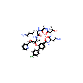 C[C@H](NC(=O)[C@@H](NC(=O)[C@H](CCN)NC(=O)c1ccc(-c2ccc(Cl)cc2)cc1)[C@@H](C)O)C(=O)N[C@@H](CCCCN)C(=O)N[C@@H](C)C(=O)C1OC1c1ccccn1